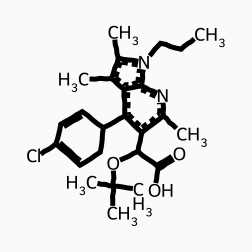 CCCn1c(C)c(C)c2c(C3C=CC(Cl)=CC3)c(C(OC(C)(C)C)C(=O)O)c(C)nc21